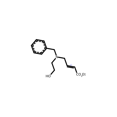 CCOC(=O)/C=C/CN(CCO)Cc1ccccc1